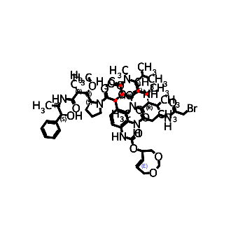 CC[C@H](C)[C@@H]([C@@H](CC(=O)N1CCC[C@H]1[C@H](OC)[C@@H](C)C(=O)N[C@H](C)[C@@H](O)c1ccccc1)OC)N(C)C(=O)[C@H](NC(=O)[C@H](C(C)C)N(C)C(=O)OCc1ccc(NC(=O)OC2/C=C/COCOC2)c(NC(=O)CCNC(=O)CBr)c1)C(C)C